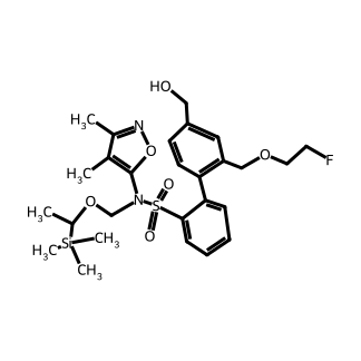 Cc1noc(N(COC(C)[Si](C)(C)C)S(=O)(=O)c2ccccc2-c2ccc(CO)cc2COCCF)c1C